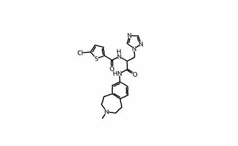 CN1CCc2ccc(NC(=O)C(Cn3cncn3)NC(=O)c3ccc(Cl)s3)cc2CC1